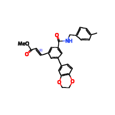 COC(=O)/C=C/c1cc(C(=O)NCc2ccc(C)cc2)cc(-c2ccc3c(c2)OCCO3)c1